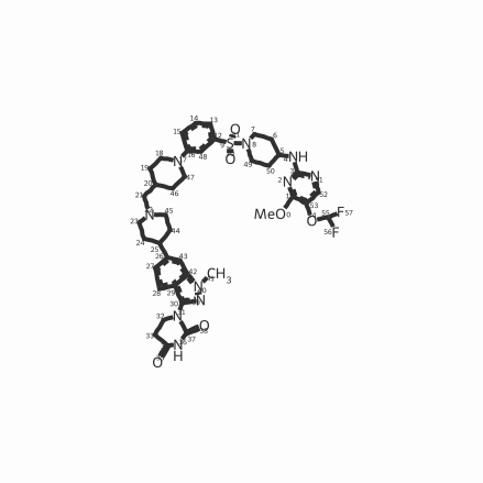 COc1nc(NC2CCN(S(=O)(=O)c3cccc(N4CCC(CN5CCC(c6ccc7c(N8CCC(=O)NC8=O)nn(C)c7c6)CC5)CC4)c3)CC2)ncc1OC(F)F